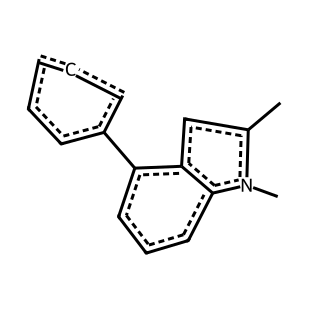 Cc1cc2c(-c3ccccc3)cccc2n1C